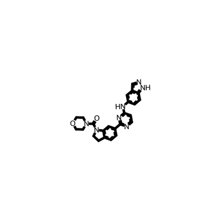 O=C(N1CCOCC1)N1CCc2ccc(-c3nccc(Nc4ccc5[nH]ncc5c4)n3)cc21